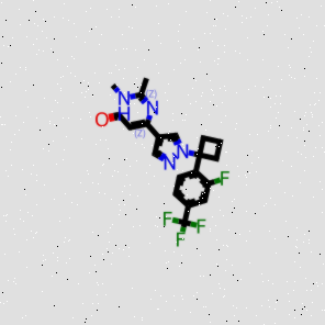 CN/C(C)=N\C(=C/C=O)c1cnn(C2(c3ccc(C(F)(F)F)cc3F)CCC2)c1